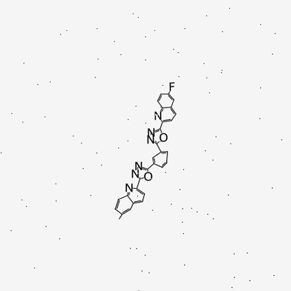 Cc1ccc2nc(-c3nnc(-c4cccc(-c5nnc(-c6ccc7cc(F)ccc7n6)o5)c4)o3)ccc2c1